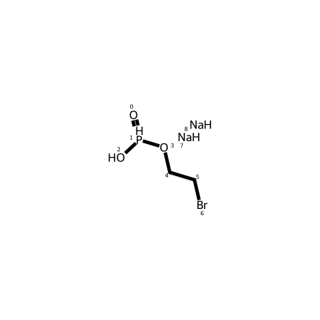 O=[PH](O)OCCBr.[NaH].[NaH]